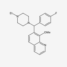 CCN1CCN(C(c2ccc(F)cc2)c2ccc3cccnc3c2OC)CC1